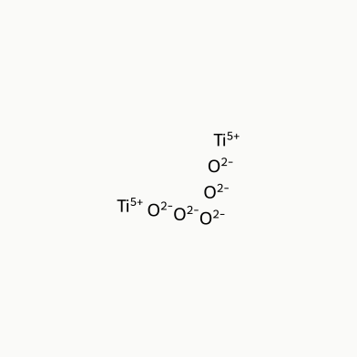 [O-2].[O-2].[O-2].[O-2].[O-2].[Ti+5].[Ti+5]